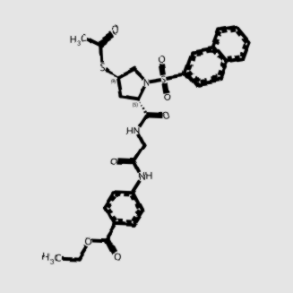 CCOC(=O)c1ccc(NC(=O)CNC(=O)[C@@H]2C[C@@H](SC(C)=O)CN2S(=O)(=O)c2ccc3ccccc3c2)cc1